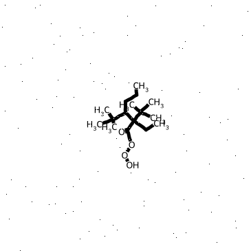 CCCC(C(C)(C)C)C(CC)(C(=O)OOO)C(C)(C)C